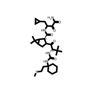 CSCCC1(NC(=O)N[C@H](C(=O)C2CC3C([C@H]2C(=O)NC(CC2CC2)C(=O)C(N)=O)C3(C)C)C(C)(C)C)CCCCC1